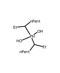 CCCCCC(CC)[PH](O)(O)C(CC)CCCCC